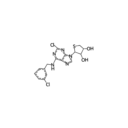 OC1CSC(n2cnc3c(NCc4cccc(Cl)c4)nc(Cl)nc32)C1O